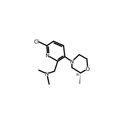 C[C@@H]1CN(c2ccc(Cl)nc2CN(C)C)CCO1